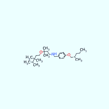 CCCC(C)COc1ccc(CNCCC(C)(C)OCCC(C)(C)C(C)C)cc1